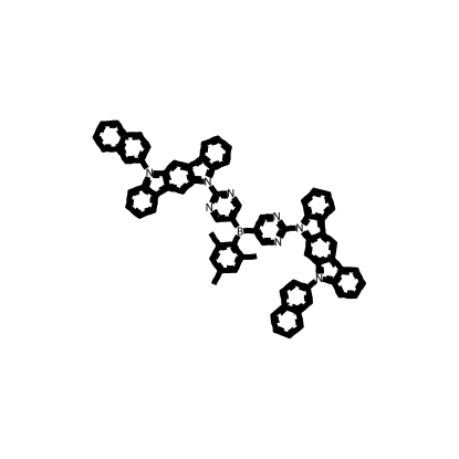 Cc1cc(C)c(B(c2cnc(-n3c4ccccc4c4cc5c(cc43)c3ccccc3n5-c3ccc4ccccc4c3)nc2)c2cnc(-n3c4ccccc4c4cc5c6ccccc6n(-c6ccc7ccccc7c6)c5cc43)nc2)c(C)c1